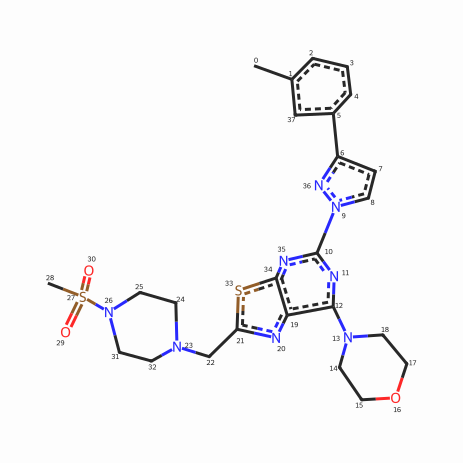 Cc1cccc(-c2ccn(-c3nc(N4CCOCC4)c4nc(CN5CCN(S(C)(=O)=O)CC5)sc4n3)n2)c1